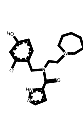 O=C(c1ccn[nH]1)N(CCN1CCCCCC1)Cc1ccc(O)cc1Cl